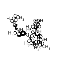 C[n+]1ccc2cc(OC[C@H](O/N=C(\C(=O)N[C@@H]3C(=O)N(OS(=O)(=O)O)C3(C)C)c3csc(NC(=O)OC(C)(C)C)n3)C(=O)OC(C)(C)C)ccc2c1NCC1CN(C(=O)OC(C)(C)C)C1